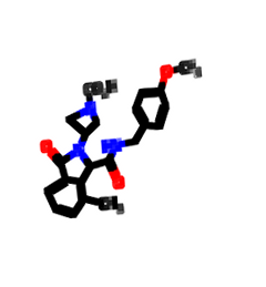 Cc1cccc2c1C(C(=O)NCc1ccc(OC(F)(F)F)cc1)N(C1CN(C(=O)O)C1)C2=O